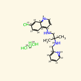 CC(C)(CNc1ccnc2cc(Cl)ccc12)NCc1ccccn1.Cl.Cl.Cl